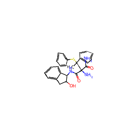 CC(Sc1ccccc1)(c1ccccc1)[C@](N)(C(N)=O)C(=O)NC1c2ccccc2CC1O